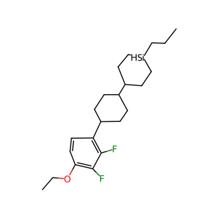 CCC[SiH]1CCC(C2CCC(c3ccc(OCC)c(F)c3F)CC2)CC1